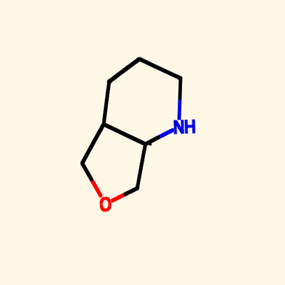 C1CN[C]2COCC2C1